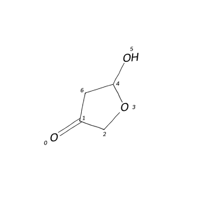 O=C1COC(O)C1